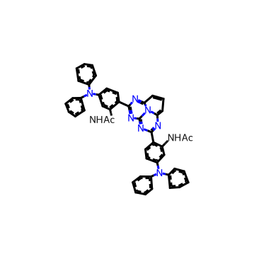 CC(=O)Nc1cc(N(c2ccccc2)c2ccccc2)ccc1C1=NC2=CC=CC3=NC(c4ccc(N(c5ccccc5)c5ccccc5)cc4NC(C)=O)=NC(=N1)N23